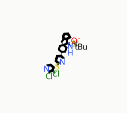 CC(C)(C)[S@@+]([O-])N[C@H]1c2ccccc2C[C@]12CC[C@@H](c1ccc(Sc3ccnc(Cl)c3Cl)nc1)CC2